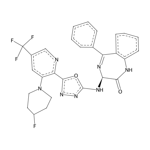 O=C1Nc2ccccc2C(c2ccccc2)=N[C@@H]1Nc1nnc(-c2ncc(C(F)(F)F)cc2N2CCC(F)CC2)o1